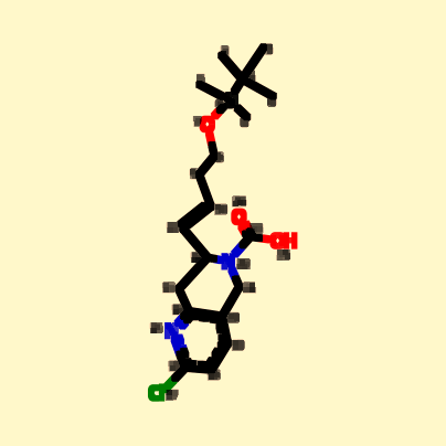 CC(C)(C)[Si](C)(C)OCCC=CC1Cc2nc(Cl)ccc2CN1C(=O)O